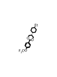 CC[C@H]1CC[C@H](C2COC(c3ccc(OC(F)(F)F)cc3)OC2)CC1